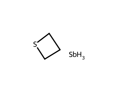 C1CSC1.[SbH3]